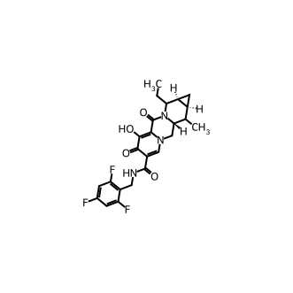 CCC1[C@H]2C[C@H]2C(C)[C@@H]2Cn3cc(C(=O)NCc4c(F)cc(F)cc4F)c(=O)c(O)c3C(=O)N12